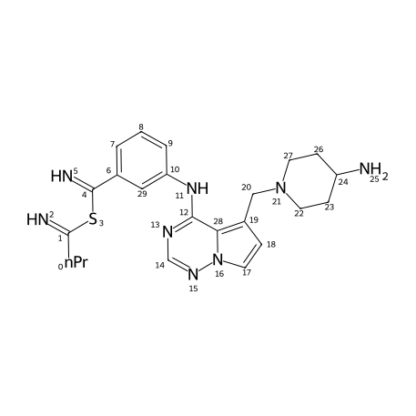 CCCC(=N)SC(=N)c1cccc(Nc2ncnn3ccc(CN4CCC(N)CC4)c23)c1